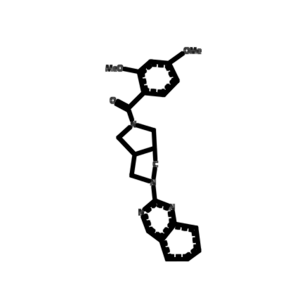 COc1ccc(C(=O)N2CC3CN(c4ncc5ccccc5n4)CC3C2)c(OC)c1